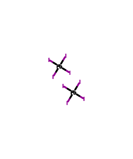 [I][Pb]([I])([I])[I].[I][Pb]([I])([I])[I]